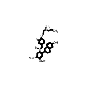 C=CCN(C)CCOc1ccc(CN(CC)c2cc(OC)c(OC)cc2C2CCc3cc(O)ccc3C2)cc1F